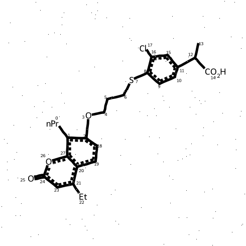 CCCc1c(OCCCSc2ccc(C(C)C(=O)O)cc2Cl)ccc2c(CC)cc(=O)oc12